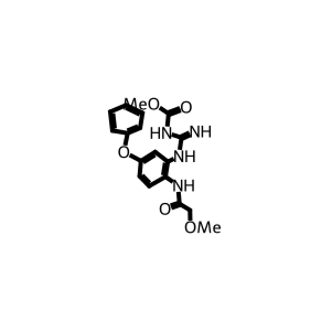 COCC(=O)Nc1ccc(Oc2ccccc2)cc1NC(=N)NC(=O)OC